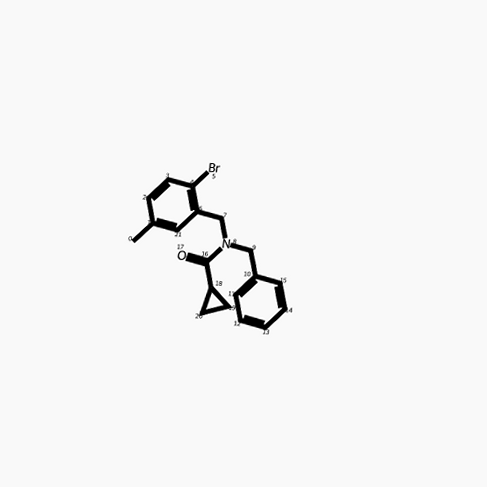 Cc1ccc(Br)c(CN(Cc2ccccc2)C(=O)C2CC2)c1